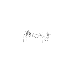 CNc1nc(C)nc(N2Cc3ccc(C(=O)NCc4ccccc4C(F)(F)F)cc3C2)n1